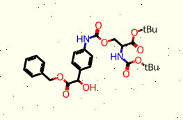 CC(C)(C)OC(=O)NC(COC(=O)Nc1ccc(C(O)C(=O)OCc2ccccc2)cc1)C(=O)OC(C)(C)C